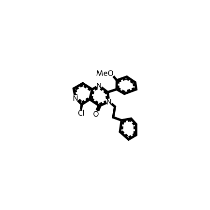 COc1ccccc1-c1nc2ccnc(Cl)c2c(=O)n1CCc1ccccc1